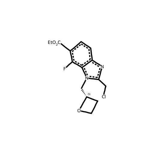 CCOC(=O)c1ccc2nc(CCl)n(C[C@@H]3CCO3)c2c1F